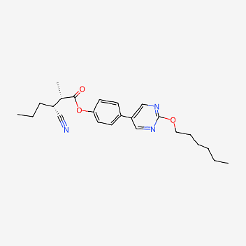 CCCCCCOc1ncc(-c2ccc(OC(=O)[C@@H](C)[C@H](C#N)CCC)cc2)cn1